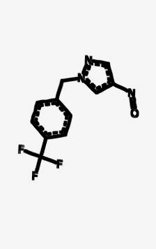 O=Nc1cnn(Cc2ccc(C(F)(F)F)cc2)c1